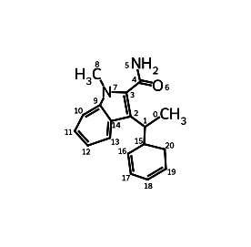 CC(c1c(C(N)=O)n(C)c2ccccc12)C1C=CC=CC1